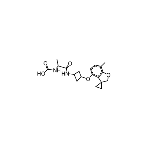 Cc1ccc(OC2CC(NC(=O)C(C)NC(=O)O)C2)c2c1OCC21CC1